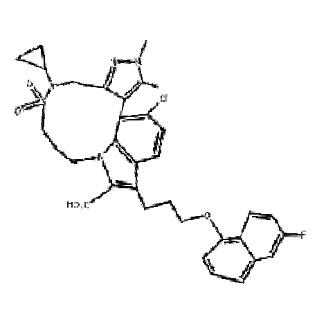 Cc1c2c(nn1C)CN(C1CC1)S(=O)(=O)CCCn1c(C(=O)O)c(CCCOc3cccc4cc(F)ccc34)c3ccc(Cl)c-2c31